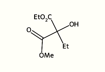 CCOC(=O)C(O)(CC)C(=O)OC